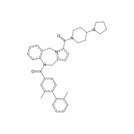 Cc1ccccc1-c1ccc(C(=O)N2Cc3ccc(C(=O)N4CCC(N5CCCC5)CC4)n3Cc3ccccc32)cc1C